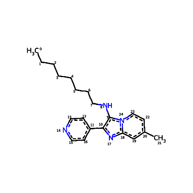 CCCCCCCCNc1c(-c2ccncc2)nc2cc(C)ccn12